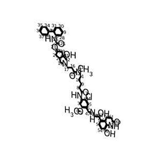 COc1cc(NC(=O)CCCCN(C)C(=O)CCN2CC3C[C@H](OC(=O)Nc4ccccc4-c4ccccc4)CC3(O)C2)c(Cl)cc1CNC[C@H](O)c1ccc(O)c2[nH]c(=O)ccc12